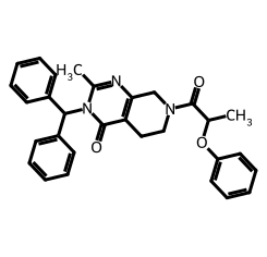 Cc1nc2c(c(=O)n1C(c1ccccc1)c1ccccc1)CCN(C(=O)C(C)Oc1ccccc1)C2